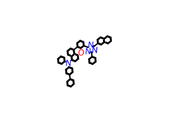 c1ccc(-c2ccc(N(c3ccccc3)c3ccc4c5c(cccc35)-c3cccc(-c5nc(-c6ccccc6)nc(-c6ccc7ccccc7c6)n5)c3O4)cc2)cc1